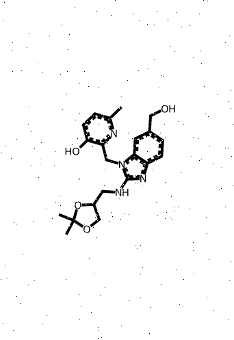 Cc1ccc(O)c(Cn2c(NCC3COC(C)(C)O3)nc3ccc(CO)cc32)n1